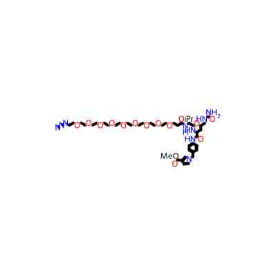 COC(=O)c1ccn(Cc2ccc(NC(=O)C(CCCNC(N)=O)NC(=O)C(NC(=O)CCOCCOCCOCCOCCOCCOCCOCCOCCOCCN=[N+]=[N-])C(C)C)cc2)c1